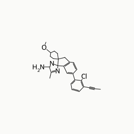 CC#Cc1cccc(-c2ccc3c(c2)C2(N=C(C)C(N)=N2)C2(CCC(OC)CC2)C3)c1Cl